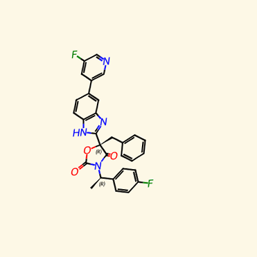 C[C@H](c1ccc(F)cc1)N1C(=O)O[C@](Cc2ccccc2)(c2nc3cc(-c4cncc(F)c4)ccc3[nH]2)C1=O